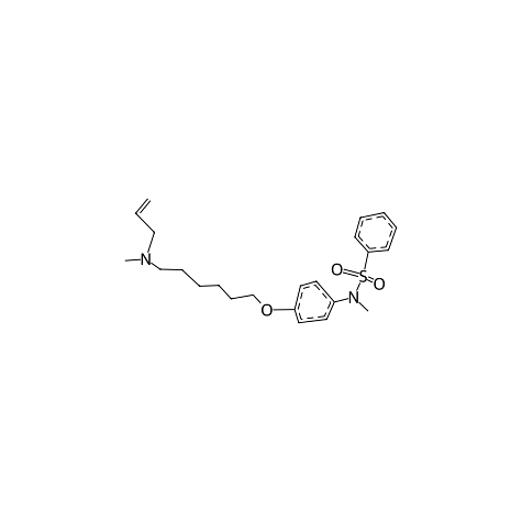 C=CCN(C)CCCCCCOc1ccc(N(C)S(=O)(=O)c2ccccc2)cc1